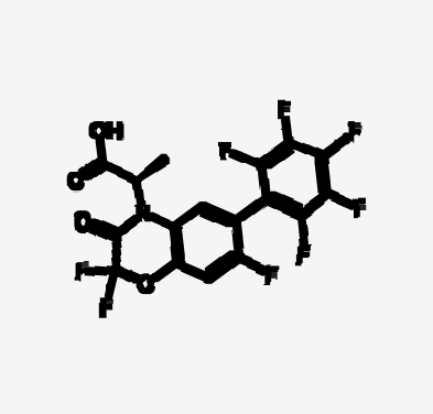 C[C@H](C(=O)O)N1C(=O)C(F)(F)Oc2cc(F)c(-c3c(F)c(F)c(F)c(F)c3F)cc21